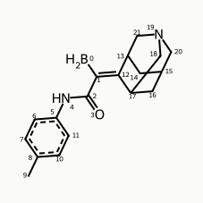 BC(C(=O)Nc1ccc(C)cc1)=C1C2CC3CC1CN(C3)C2